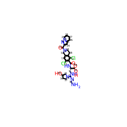 NC/N=C(/NC[C@H](NC(=O)c1c(Cl)cc2c(c1Cl)CCN(C(=O)c1cc3ccccn3n1)C2)C(=O)O)N1CC[C@H](O)C1